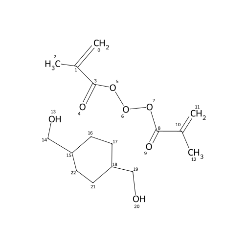 C=C(C)C(=O)OOOC(=O)C(=C)C.OCC1CCC(CO)CC1